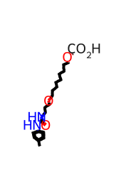 Cc1ccc(NC(=O)NCCCOCCCCCCCCCOCC(=O)O)cc1